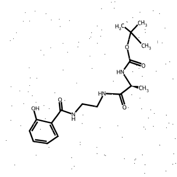 C[C@H](NC(=O)OC(C)(C)C)C(=O)NCCNC(=O)c1ccccc1O